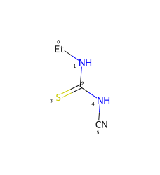 CCNC(=S)NC#N